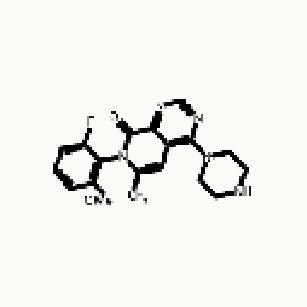 COc1cccc(F)c1-n1c(C(F)(F)F)cc2c(N3CCNCC3)ncnc2c1=O